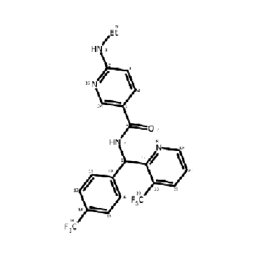 CCNc1ccc(C(=O)NC(c2ccc(C(F)(F)F)cc2)c2ncccc2C(F)(F)F)cn1